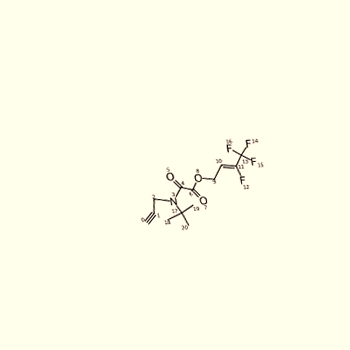 C#CCN(C(=O)C(=O)OC/C=C(\F)C(F)(F)F)C(C)(C)C